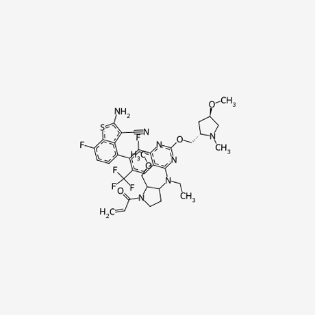 C=CC(=O)N1CCC(N(CC)c2nc(OC[C@@H]3C[C@@H](OC)CN3C)nc3c(F)c(-c4ccc(F)c5sc(N)c(C#N)c45)c(C(F)(F)F)cc23)C1COC